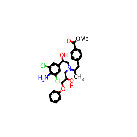 COC(=O)c1ccc(CC(C)N(CC(O)COc2ccccc2)CC(O)c2cc(Cl)c(N)c(Cl)c2)cc1